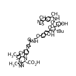 Cc1ncsc1-c1ccc([C@H](C)NC(=O)[C@@H]2C[C@@H](O)CN2C(=O)[C@@H](NC(=O)c2cc3cc(OCCNC(=O)C4CN(c5ccc(C6=N[C@@H](CC(=O)O)c7nnc(C)n7-c7sc(C)c(C)c76)cc5)C4)ccc3o2)C(C)(C)C)cc1